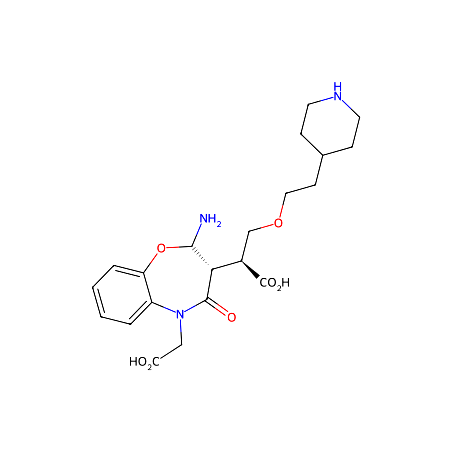 NC1Oc2ccccc2N(CC(=O)O)C(=O)[C@H]1[C@@H](COCCC1CCNCC1)C(=O)O